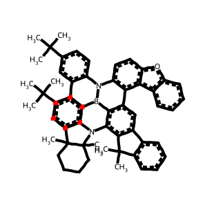 CC(C)(C)c1ccc(N2B3c4cc(C(C)(C)C)cc5c4N(c4c3c(cc3c4C(C)(C)c4ccccc4-3)-c3c2ccc2oc4ccccc4c32)C2(C)CCCCC52C)c(-c2ccccc2)c1